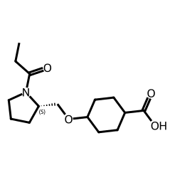 CCC(=O)N1CCC[C@H]1COC1CCC(C(=O)O)CC1